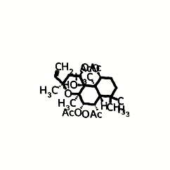 C=C[C@@]1(C)C[C@@H](OC(C)=O)[C@]2(O)[C@@]3(C)[C@@H](OC(C)=O)CCC(C)(C)[C@@H]3[C@H](OC(C)=O)[C@H](OC(C)=O)[C@@]2(C)O1